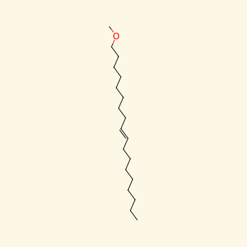 CCCCCCCCC=CCCCCCCCCOC